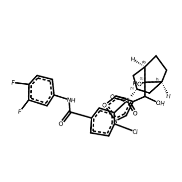 O=C(Nc1ccc(F)c(F)c1)c1ccc(Cl)c(S(=O)(=O)[C@@H]2C[C@H]3CC[C@@H](C2)[C@@]3(O)C(O)c2cnoc2)c1